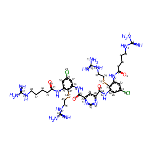 N=C(N)NCCCCC(=O)Nc1cc(Cl)cc(NC(=O)c2cc(C(=O)Nc3cc(Cl)cc(NC(=O)CCCCNC(=N)N)c3SCCNC(=N)N)ncn2)c1SCCNC(=N)N